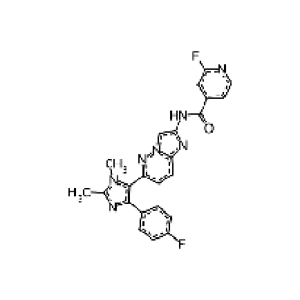 Cc1nc(-c2ccc(F)cc2)c(-c2ccc3nc(NC(=O)c4ccnc(F)c4)cn3n2)n1C